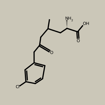 CC(CC(=O)Cc1cccc(Cl)c1)C[C@H](N)C(=O)O